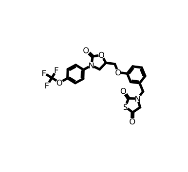 O=C1CN(Cc2cccc(OCC3CN(c4ccc(OC(F)(F)F)cc4)C(=O)O3)c2)C(=O)S1